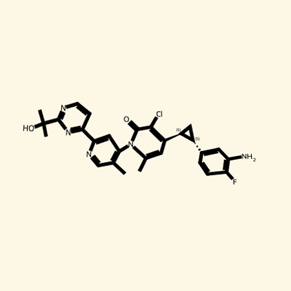 Cc1cnc(-c2ccnc(C(C)(C)O)n2)cc1-n1c(C)cc([C@H]2C[C@@H]2c2ccc(F)c(N)c2)c(Cl)c1=O